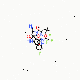 CN(C(=O)C(Cc1ccc(F)cc1)NC(=O)C(F)(F)F)[C@@H](CC(C)(C)C)C(=O)N1C[C@]2(C[C@H]1C#N)C(=O)Nc1ccccc12